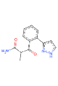 CC(C(N)=O)C(=O)c1ccccc1-c1cc[nH]n1